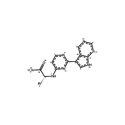 CC(C)[C@@H](Nc1ccnc(-c2c[nH]c3ncncc23)n1)C(N)=O